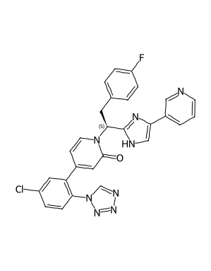 O=c1cc(-c2cc(Cl)ccc2-n2cnnn2)ccn1[C@@H](Cc1ccc(F)cc1)c1nc(-c2cccnc2)c[nH]1